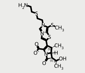 CSc1c2sc(C3=C(C(=O)[O-])N4C(=O)[C@H]([C@@H](C)O)[C@@H]4[C@H]3C)c[n+]2cn1CCSCCN